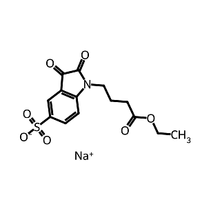 CCOC(=O)CCCN1C(=O)C(=O)c2cc(S(=O)(=O)[O-])ccc21.[Na+]